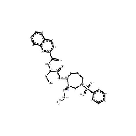 CC(C)(C)C[C@H](NC(=O)c1ccc2ccccc2n1)C(=O)NC1CCCN(S(=O)(=O)c2ccccn2)C/C1=N\NC(=O)O